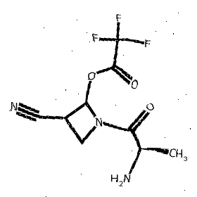 C[C@@H](N)C(=O)N1CC(C#N)C1OC(=O)C(F)(F)F